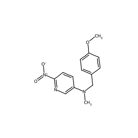 COc1ccc(CN(C)c2ccc([N+](=O)[O-])nc2)cc1